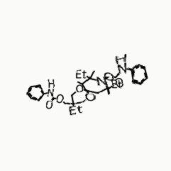 CCC1(COC(=O)Nc2ccccc2)COC2(CC(C)(CC)N(OC(=O)Nc3ccccc3)C(C)(CC)C2C)OC1